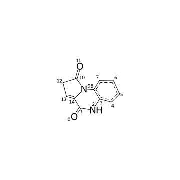 O=C1Nc2ccccc2N2C(=O)CC=C12